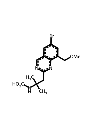 COCc1cc(Br)cc2cnc(CC(C)(C)NC(=O)O)nc12